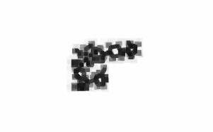 CS[C@@]1(C(=O)Nc2ccc3[nH]nc(-c4ccnc(C)c4)c3c2)CCN(CC(O)C2CCN(c3nccs3)CC2)C1